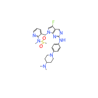 CN(C)C1CCN(c2ccc(Nc3ncc4c(F)cn(Cc5cccnc5N(C)S(C)(=O)=O)c4n3)cc2)CC1